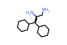 NCC(N)=C(C1CCCCC1)C1CCCCC1